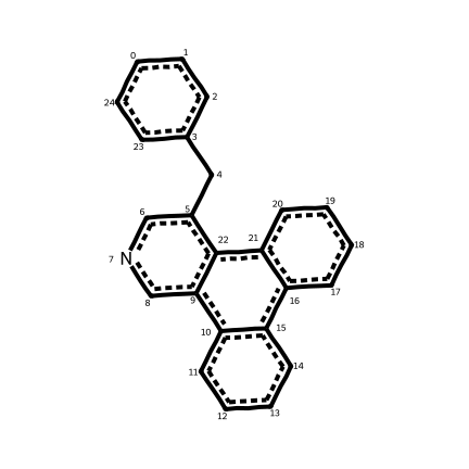 c1ccc(Cc2cncc3c4ccccc4c4ccccc4c23)cc1